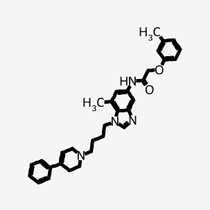 Cc1cccc(OCC(=O)Nc2cc(C)c3c(c2)ncn3CCCCN2CC=C(c3ccccc3)CC2)c1